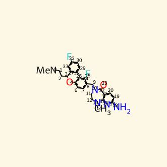 CNCC[C@H](Oc1ccc(CN2CCN(C)c3nc(N)ccc3C2=O)c(F)c1)c1cccc(F)c1